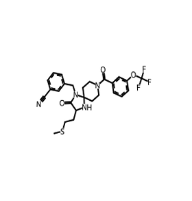 CSCCC1NC2(CCN(C(=O)c3cccc(OC(F)(F)F)c3)CC2)N(Cc2cccc(C#N)c2)C1=O